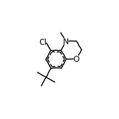 CN1CCOc2cc(C(C)(C)C)cc(Cl)c21